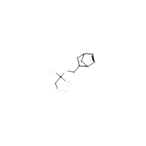 O=C(O)CC(OCC1CC2C=CC1C2)(C(F)(F)F)C(F)(F)F